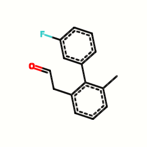 Cc1cccc(CC=O)c1-c1cccc(F)c1